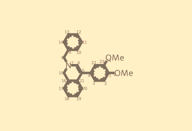 COc1ccc(C2=CN(Cc3ccccc3)Cc3ccccc32)cc1OC